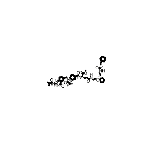 COC(=O)[C@H](CCC(=O)NCCOC1(OCCNC(=O)OCc2ccccc2)CCCC1)NC(=O)c1ccc(N(Cc2ccc3nc(NC(=O)C(C)C)[nH]c(=O)c3c2)C(=O)C(F)(F)F)cc1